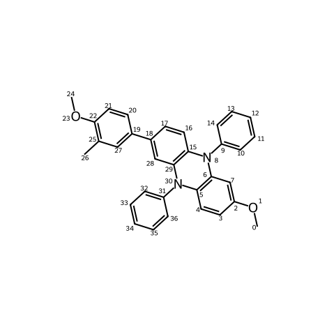 COc1ccc2c(c1)N(c1ccccc1)c1ccc(-c3ccc(OC)c(C)c3)cc1N2c1ccccc1